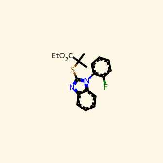 CCOC(=O)C(C)(C)Sc1nc2ccccc2n1-c1ccccc1F